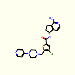 Nc1nccc2c1CC[C@H]2NC(=O)c1cc(Cl)c(CN2CCN(c3ccncc3)CC2)s1